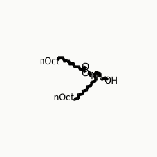 CCCCCCCC/C=C\CCCCCCCCC1N(CCO)C=CN1CCOC(=O)CCCCCCC/C=C\CCCCCCCC